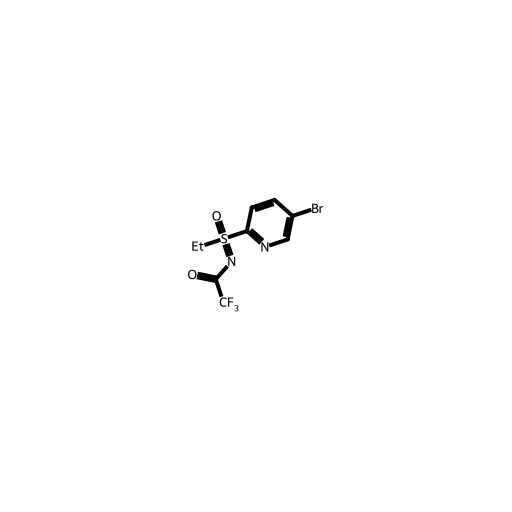 CCS(=O)(=NC(=O)C(F)(F)F)c1ccc(Br)cn1